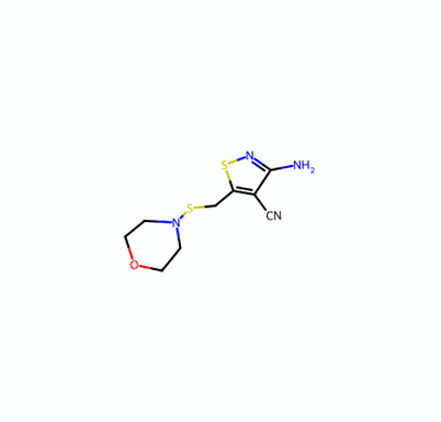 N#Cc1c(N)nsc1CSN1CCOCC1